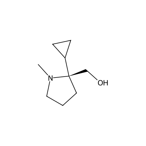 CN1CCC[C@@]1(CO)C1CC1